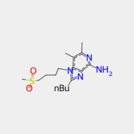 CCCCc1nc2c(N)nc(C)c(C)c2n1CCCCS(C)(=O)=O